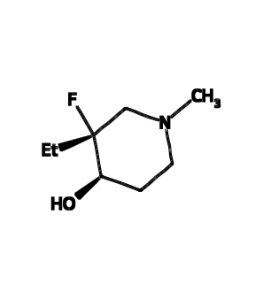 CC[C@@]1(F)CN(C)CC[C@H]1O